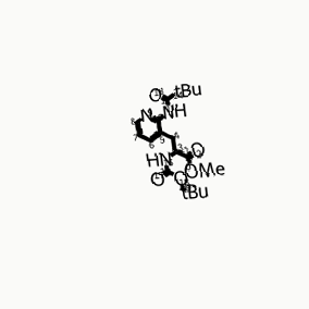 COC(=O)C(Cc1cccnc1NC(=O)C(C)(C)C)NC(=O)OC(C)(C)C